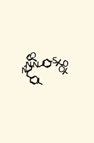 Cc1ccc(Cc2cc(N(Cc3ccc(SC(C)(C)C(=O)OC(C)(C)C)cc3)Cc3ccco3)ncn2)cc1